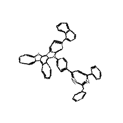 c1ccc(-c2cc(-c3ccc(-n4c5cc(-c6cccc7ccccc67)ccc5c5c6sc7ccccc7c6c6ccccc6c54)cc3)nc(-c3ccccc3)n2)cc1